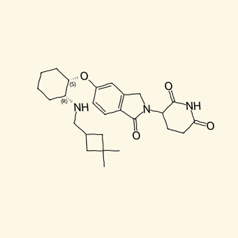 CC1(C)CC(CN[C@@H]2CCCC[C@@H]2Oc2ccc3c(c2)CN(C2CCC(=O)NC2=O)C3=O)C1